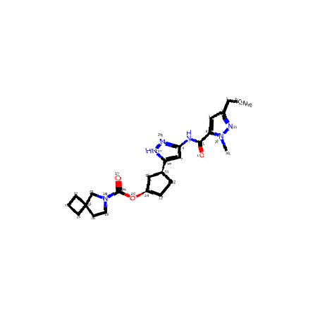 COCc1cc(C(=O)Nc2cc([C@H]3CC[C@@H](OC(=O)N4CCC5(CCC5)C4)C3)[nH]n2)n(C)n1